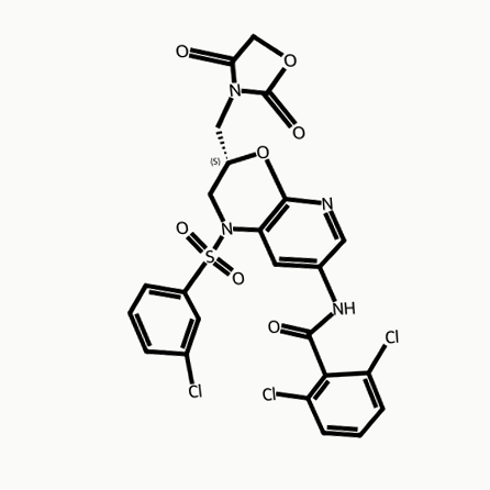 O=C(Nc1cnc2c(c1)N(S(=O)(=O)c1cccc(Cl)c1)C[C@H](CN1C(=O)COC1=O)O2)c1c(Cl)cccc1Cl